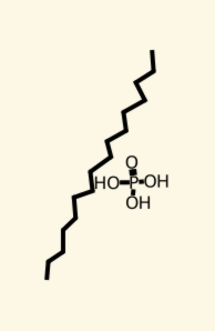 CCCCCCCCCCCCCCCC.O=P(O)(O)O